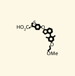 COCCCOc1cc(C)c(-c2cccc3c2CCC3Oc2ccc3c(c2)SC[C@H]3CC(=O)O)c(C)c1